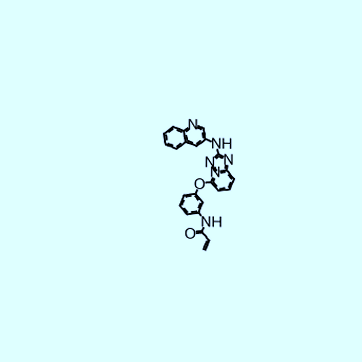 C=CC(=O)Nc1cccc(Oc2cccc3nc(Nc4cnc5ccccc5c4)nn23)c1